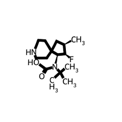 C[C@@H]1CC2(CCNCC2)[C@H](N(C(=O)O)C(C)(C)C)[C@@H]1F